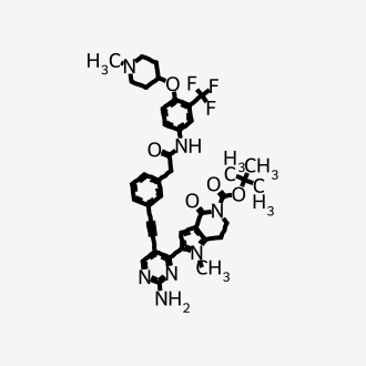 CN1CCC(Oc2ccc(NC(=O)Cc3cccc(C#Cc4cnc(N)nc4-c4cc5c(n4C)CCN(C(=O)OC(C)(C)C)C5=O)c3)cc2C(F)(F)F)CC1